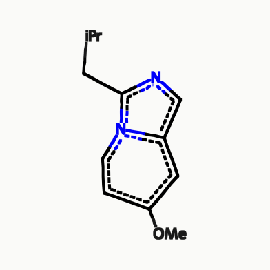 COc1ccn2c(CC(C)C)ncc2c1